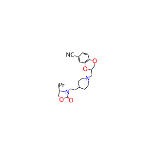 CC(C)C1COC(=O)N1CCC1CCN(CC2COc3ccc(C#N)cc3O2)CC1